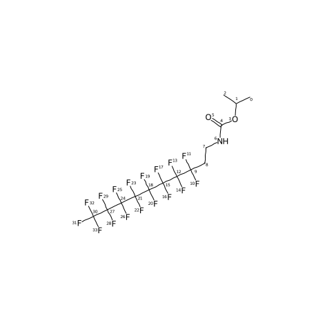 CC(C)OC(=O)NCCC(F)(F)C(F)(F)C(F)(F)C(F)(F)C(F)(F)C(F)(F)C(F)(F)C(F)(F)F